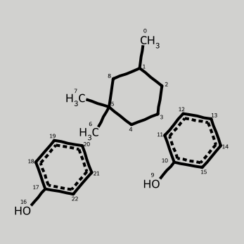 CC1CCCC(C)(C)C1.Oc1ccccc1.Oc1ccccc1